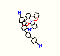 N#Cc1ccc(-c2ccc3c4ccc(-c5ccc(C#N)cc5)cc4n(-c4cccc5c4C(=O)N(c4c(-c6ccccc6)cccc4-c4ccccc4)C5=O)c3c2)cc1